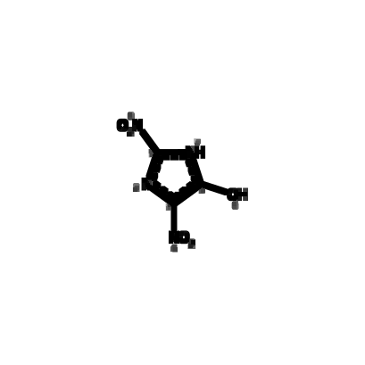 O=[N+]([O-])c1nc([N+](=O)[O-])c(O)[nH]1